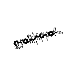 CC(C)(C)c1cccc(-c2nc3cc4[nH]c(C(C)(C)CCC(C)(C)c5ccc(-c6nc7cc8[nH]c(C(C)(C)C)nc8cc7[nH]6)nc5)nc4cc3[nH]2)n1